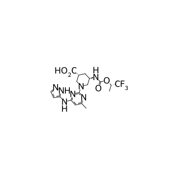 Cc1cc(Nc2ccn[nH]2)nc(N2C[C@H](NC(=O)O[C@@H](C)C(F)(F)F)C[C@@H](C(=O)O)C2)n1